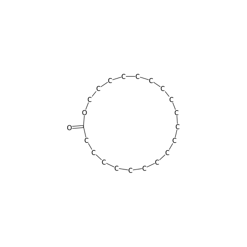 O=C1CCCCCCCCCCCCCCCCCCCO1